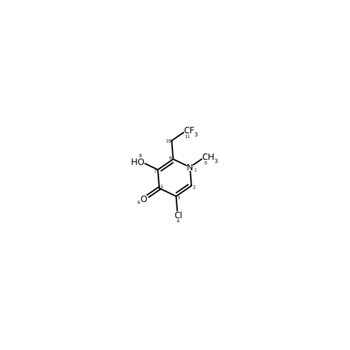 Cn1cc(Cl)c(=O)c(O)c1CC(F)(F)F